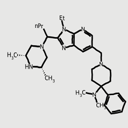 CCCC(c1nc2cc(CN3CCC(c4ccccc4)(N(C)C)CC3)cnc2n1CC)N1C[C@@H](C)N[C@@H](C)C1